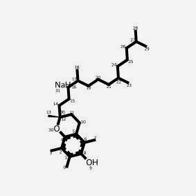 Cc1c(C)c2c(c(C)c1O)CC[C@@](C)(CCCC(C)CCCC(C)CCCC(C)C)O2.[NaH]